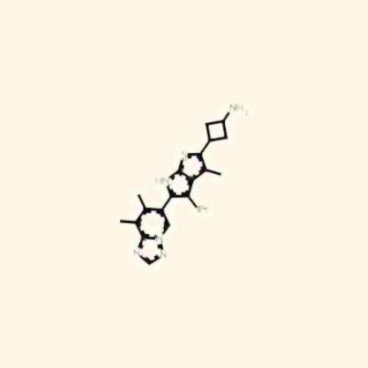 Cc1c(-c2[nH]c3sc(C4CC(N)C4)c(C)c3c2C(C)C)cn2ncnc2c1C